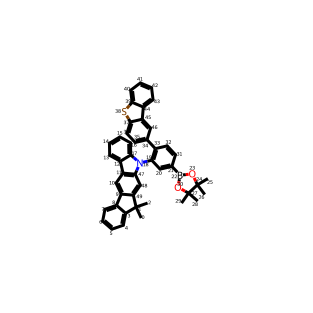 CC1(C)c2ccccc2-c2cc3c4ccccc4n(-c4cc(B5OC(C)(C)C(C)(C)O5)ccc4-c4ccc5sc6ccccc6c5c4)c3cc21